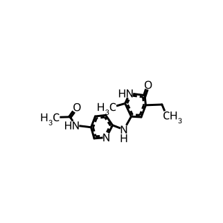 CCc1cc(Nc2ccc(NC(C)=O)cn2)c(C)[nH]c1=O